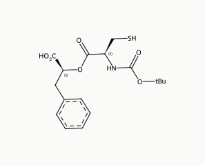 CC(C)(C)OC(=O)N[C@H](CS)C(=O)O[C@@H](Cc1ccccc1)C(=O)O